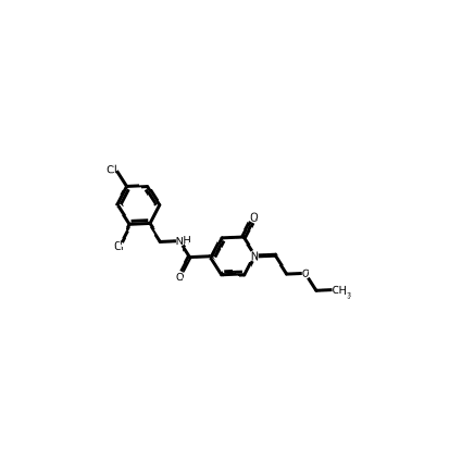 CCOCCn1ccc(C(=O)NCc2ccc(Cl)cc2Cl)cc1=O